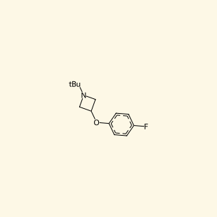 CC(C)(C)N1CC(Oc2ccc(F)cc2)C1